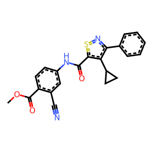 COC(=O)c1ccc(NC(=O)c2snc(-c3ccccc3)c2C2CC2)cc1C#N